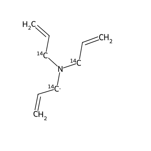 C=C[14CH]N([14CH2]C=C)[14CH2]C=C